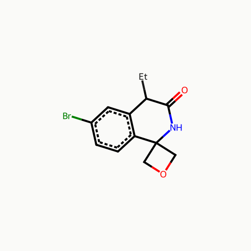 CCC1C(=O)NC2(COC2)c2ccc(Br)cc21